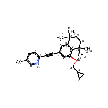 CC(=O)c1ccc(C#Cc2cc(OCC3CC3)c3c(c2)C(C)(C)CCC3(C)C)nc1